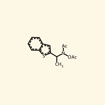 CC(=O)ON(C(C)=O)C(C)c1cc2ccccc2s1